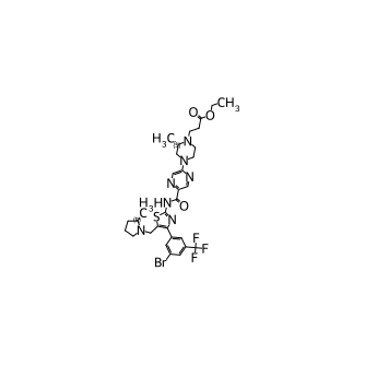 CCOC(=O)CCN1CCN(c2cnc(C(=O)Nc3nc(-c4cc(Br)cc(C(F)(F)F)c4)c(CN4CCC[C@H]4C)s3)cn2)C[C@@H]1C